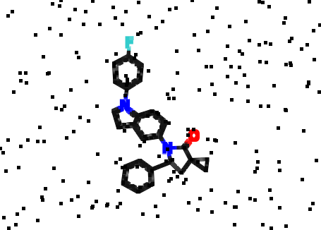 O=C1N(c2ccc3c(ccn3-c3ccc(F)cc3)c2)C(c2ccccc2)CC12CC2